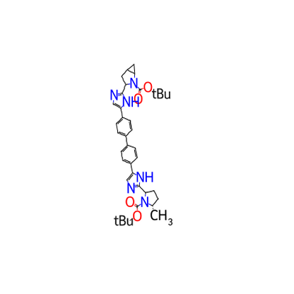 C[C@H]1CCC(c2ncc(-c3ccc(-c4ccc(-c5cnc(C6CC7CC7N6C(=O)OC(C)(C)C)[nH]5)cc4)cc3)[nH]2)N1C(=O)OC(C)(C)C